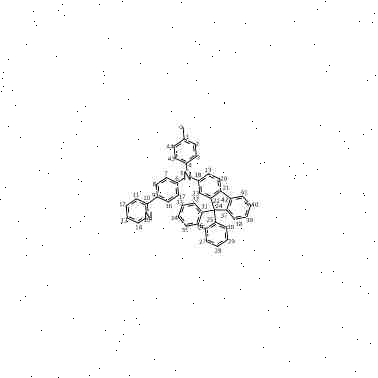 Cc1ccc(N(c2ccc(-c3ccccn3)cc2)c2ccc3c(c2)C(c2ccccc2)(c2ccccc2)c2ccccc2-3)cc1